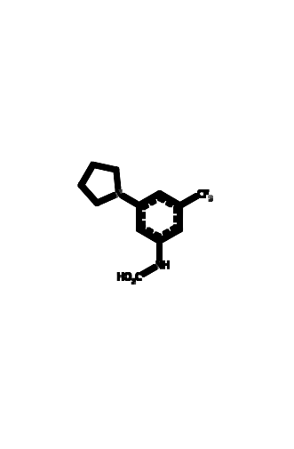 O=C(O)Nc1cc(N2CCCC2)cc(C(F)(F)F)c1